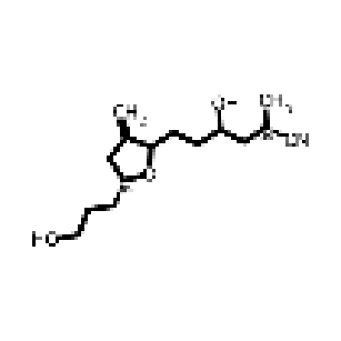 C=C1C[C@H](CCCO)OC1CCC(O)C[C@@H](C)C#N